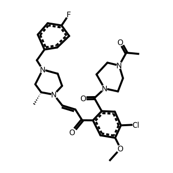 COc1cc(C(=O)/C=C/N2CCN(Cc3ccc(F)cc3)C[C@H]2C)c(C(=O)N2CCN(C(C)=O)CC2)cc1Cl